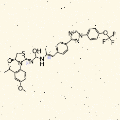 COc1ccc(N2C(=O)CS/C2=N\C(O)N/C(C)=C/c2ccc(-c3ncn(-c4ccc(OC(F)(F)F)cc4)n3)cc2)c(C(C)C)c1